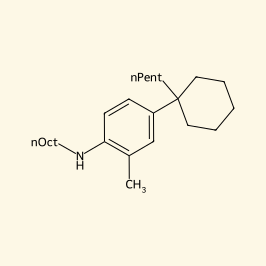 CCCCCCCCNc1ccc(C2(CCCCC)CCCCC2)cc1C